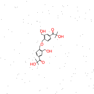 CC(C)(O)C(=O)c1ccc(COCc2ccc(C(=O)C(C)(C)O)cc2CO)c(CO)c1